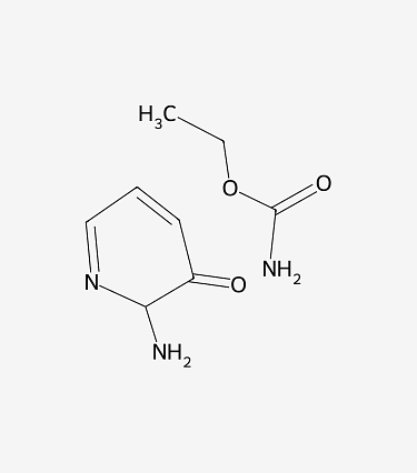 CCOC(N)=O.NC1N=CC=CC1=O